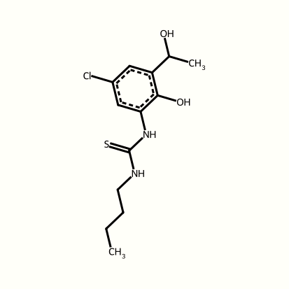 CCCCNC(=S)Nc1cc(Cl)cc(C(C)O)c1O